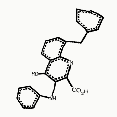 O=C(O)c1nc2c(Cc3ccccc3)cccc2c(O)c1Nc1ccccc1